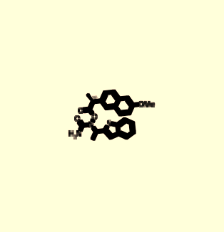 COc1ccc2cc([C@H](C)C(=O)ON(C(N)=O)C(C)c3cc4ccccc4s3)ccc2c1